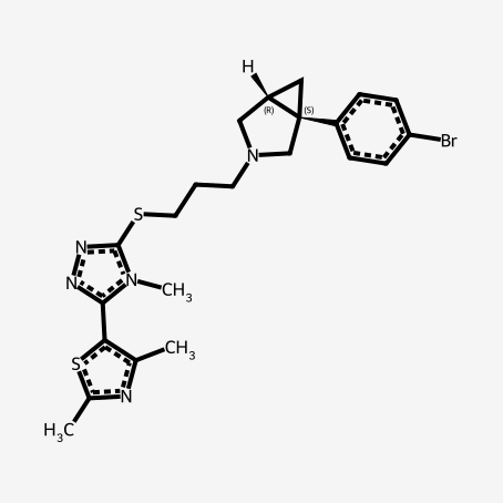 Cc1nc(C)c(-c2nnc(SCCCN3C[C@@H]4C[C@]4(c4ccc(Br)cc4)C3)n2C)s1